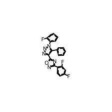 Fc1ccc(-c2noc(-c3nnn(-c4ccccc4F)c3-c3ccccc3)n2)c(F)c1